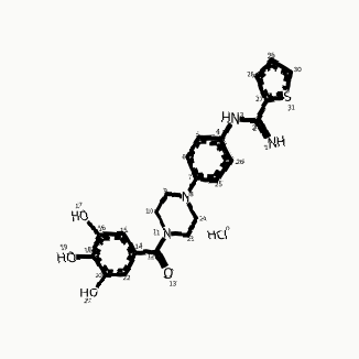 Cl.N=C(Nc1ccc(N2CCN(C(=O)c3cc(O)c(O)c(O)c3)CC2)cc1)c1cccs1